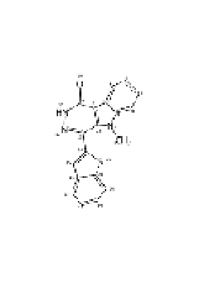 Cn1c2ccccc2c2c(=O)[nH]nc(-c3cc4ccccc4s3)c21